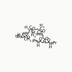 CC(C)NC(=O)CN(CC(=O)NC(C)C)C(=O)CCNC(=O)C(C)(C)CCOC(C)(C)CCNC(=O)C(C)(C)CC(C)(C)C